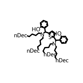 CCCCCCCCCCCCCCN(CCCCCCCCCCCCCC)C(c1ccc(C(c2ccccc2O)N(CCCCCCCCCCCCCC)CCCCCCCCCCCCCC)s1)c1ccccc1O